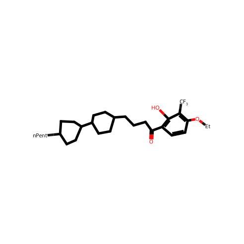 CCCCCC1CCC(C2CCC(CCCC(=O)c3ccc(OCC)c(C(F)(F)F)c3O)CC2)CC1